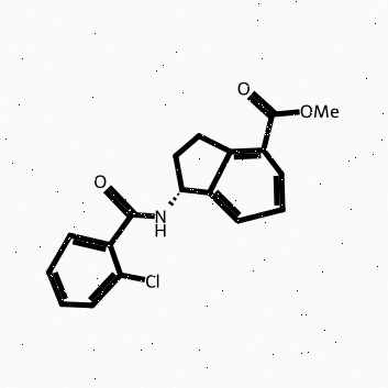 COC(=O)c1cccc2c1CC[C@H]2NC(=O)c1ccccc1Cl